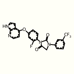 O=C1CN(c2cccc(C(F)(F)F)c2)C(=O)N1c1ccc(Oc2ccnc3[nH]ccc23)cc1F